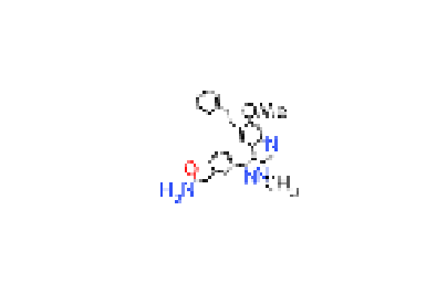 COc1cc2ncc3c(c(-c4cccc(CC(N)=O)c4)nn3C)c2cc1CCc1ccccc1